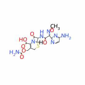 CON=C(C(=O)NC1C(=O)N2C(C(=O)O)=C(COC(N)=O)CS[C@@H]12)c1nccc(N)n1